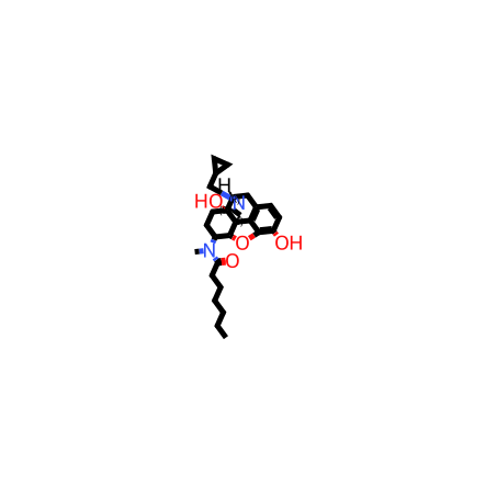 CCCCCCC(=O)N(C)C1CC[C@@]2(O)[C@H]3Cc4ccc(O)c5c4[C@@]2(CCN3CC2CC2)C1O5